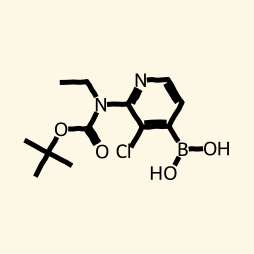 CCN(C(=O)OC(C)(C)C)c1nccc(B(O)O)c1Cl